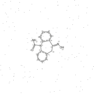 NC(=O)N1c2ccccc2CC(=NO)c2ccccc21